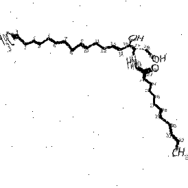 CCCCCCCCCCCCC/C=C/[C@@H](O)[C@H](CO)NC(=O)CCCCCCCCCCC